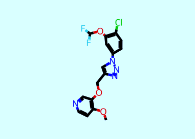 COc1ccncc1OCc1cn(-c2ccc(Cl)c(OC(F)F)c2)nn1